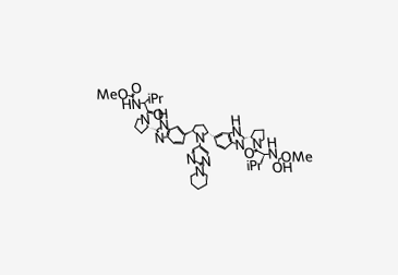 COC(=O)N[C@H](C(=O)N1CCC[C@H]1c1nc2ccc([C@H]3CC[C@H](c4ccc5nc([C@@H]6CCCN6C(=O)[C@@H](N[C@H](O)OC)C(C)C)[nH]c5c4)N3c3cnc(N4CCCCC4)nc3)cc2[nH]1)C(C)C